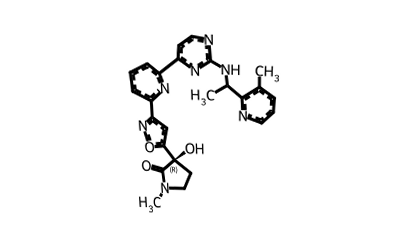 Cc1cccnc1C(C)Nc1nccc(-c2cccc(-c3cc([C@]4(O)CCN(C)C4=O)on3)n2)n1